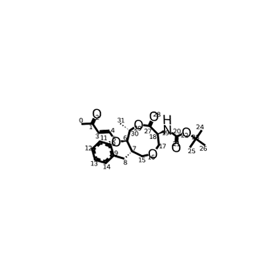 CC(=O)/C=C/O[C@@H]1[C@@H](Cc2ccccc2)COC[C@H](NC(=O)OC(C)(C)C)C(=O)O[C@H]1C